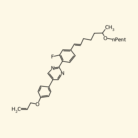 C=CCOc1ccc(-c2cnc(-c3ccc(C=CCCCC(C)OCCCCC)cc3F)nc2)cc1